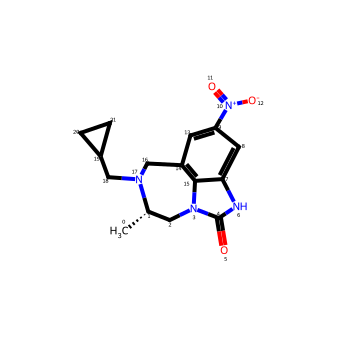 C[C@H]1Cn2c(=O)[nH]c3cc([N+](=O)[O-])cc(c32)CN1CC1CC1